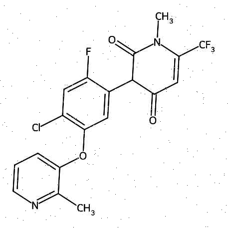 Cc1ncccc1Oc1cc(C2C(=O)C=C(C(F)(F)F)N(C)C2=O)c(F)cc1Cl